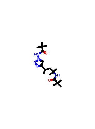 CC(CC(C)(C)NC(=O)C(C)(C)C)c1cn(NC(=O)C(C)(C)C)nn1